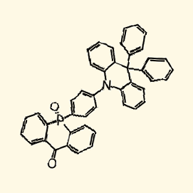 O=C1c2ccccc2P(=O)(c2ccc(N3c4ccccc4C(c4ccccc4)(c4ccccc4)c4ccccc43)cc2)c2ccccc21